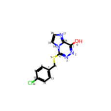 Oc1nnc(SCc2ccc(Cl)cc2)n2ccnc12